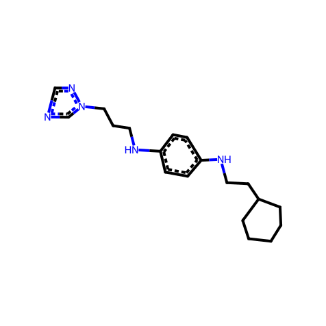 c1ncn(CCCNc2ccc(NCCC3CCCCC3)cc2)n1